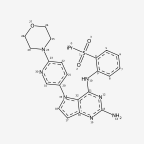 CC(C)S(=O)(=O)c1ccccc1Nc1nc(N)nc2ccn(-c3ccc(N4CCOCC4)nc3)c12